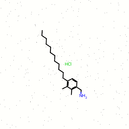 CCCCCCCCCCCCc1ccc(CN)c(C)c1C.Cl